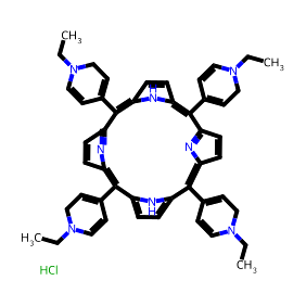 CCN1C=CC(c2c3nc(c(C4=CCN(CC)C=C4)c4ccc([nH]4)c(C4=CCN(CC)C=C4)c4nc(c(C5=CCN(CC)C=C5)c5ccc2[nH]5)C=C4)C=C3)=CC1.Cl